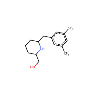 OCC1CCCC(Cc2cc(C(F)(F)F)cc(C(F)(F)F)c2)N1